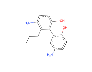 CCCc1c(N)ccc(O)c1-c1cc(N)ccc1O